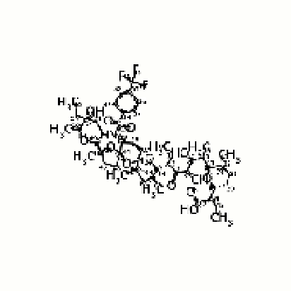 CCC(C(=O)[C@@H](C)[C@@H](O)[C@H](C)[C@@H]1O[C@@H]([C@@H](CC)C(=O)O)CC[C@@H]1C)[C@H]1O[C@]2(C=C[C@@H](NS(=O)(=O)c3ccc(C(F)(F)F)cc3)[C@]3(CC[C@@](C)([C@H]4CC[C@](O)(CC)[C@H](C)O4)O3)O2)[C@H](C)C[C@@H]1C